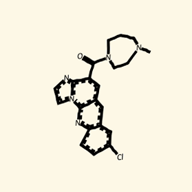 CN1CCCN(C(=O)c2cc3cc4cc(Cl)ccc4nc3n3ccnc23)CC1